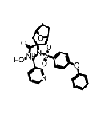 O=C(NO)C1(N(Cc2cccnc2)S(=O)(=O)c2ccc(Oc3ccccc3)cc2)CC2CCC(C1)O2